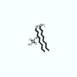 CCCCCCCCN.CCCCCCCCN.O=S(=O)(O)O